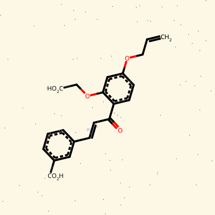 C=CCOc1ccc(C(=O)/C=C/c2cccc(C(=O)O)c2)c(OCC(=O)O)c1